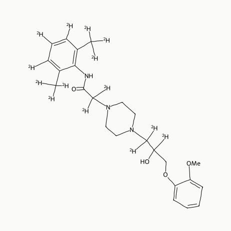 [2H]c1c([2H])c(C([2H])([2H])[2H])c(NC(=O)C([2H])([2H])N2CCN(C([2H])([2H])C([2H])(O)COc3ccccc3OC)CC2)c(C([2H])([2H])[2H])c1[2H]